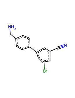 N#Cc1cc(Br)cc(-c2ccc(CN)cc2)c1